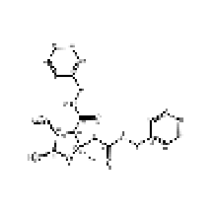 B[C@@H]1O[C@](C)(CC(=O)OCc2ccccc2)C(C(=O)OCc2ccccc2)[C@@H]1OC